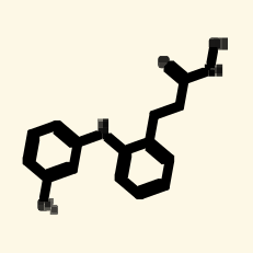 O=C(CCc1ccccc1Nc1cccc(C(F)(F)F)c1)NO